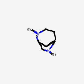 CC(C)N1CCC2CC1CN2C(C)C